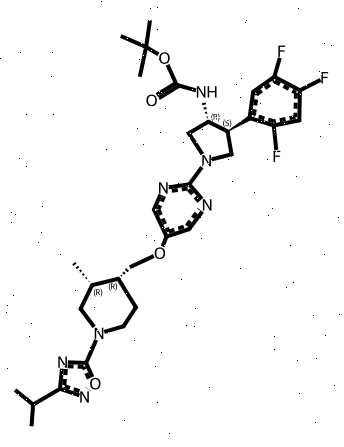 CC(C)c1noc(N2CC[C@@H](COc3cnc(N4C[C@H](NC(=O)OC(C)(C)C)[C@@H](c5cc(F)c(F)cc5F)C4)nc3)[C@@H](C)C2)n1